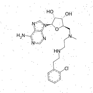 CN(CCNCCc1ccccc1Cl)C[C@H]1O[C@@H](n2cnc3c(N)ncnc32)[C@H](O)[C@@H]1O